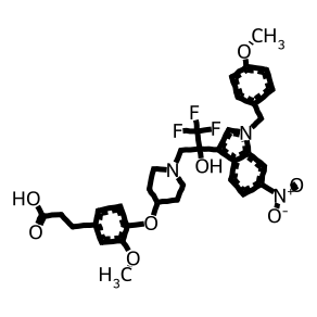 COc1ccc(Cn2cc(C(O)(CN3CCC(Oc4ccc(CCC(=O)O)cc4OC)CC3)C(F)(F)F)c3ccc([N+](=O)[O-])cc32)cc1